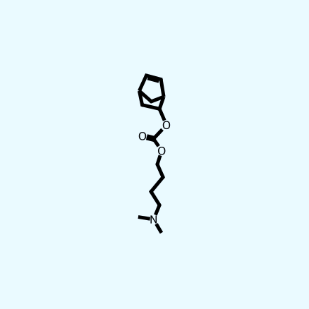 CN(C)CCCCOC(=O)OC1CC2C=CC1C2